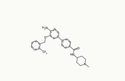 CN1CCC(NC(=O)c2ccc(-c3cnc(N)c(OCc4ccccc4C(F)(F)F)c3)cc2)CC1